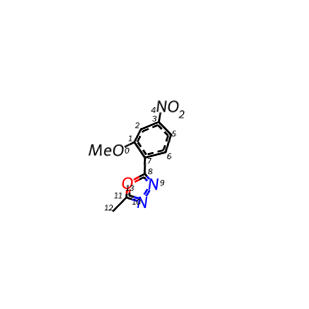 COc1cc([N+](=O)[O-])ccc1-c1nnc(C)o1